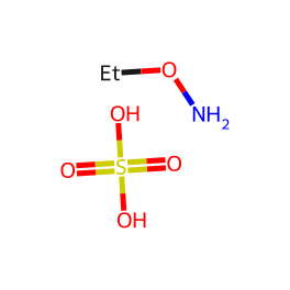 CCON.O=S(=O)(O)O